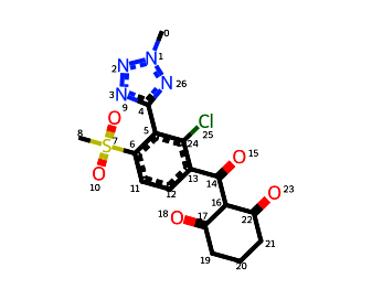 Cn1nnc(-c2c(S(C)(=O)=O)ccc(C(=O)C3C(=O)CCCC3=O)c2Cl)n1